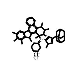 Cc1cc2c(c(C)c1C)C(C)c1c3c(c4ccccc4c1-2)C(C)C(C)C(C)[C]3(C)[Zr+2]([C]1=CC(C23CC4CC(CC(C4)C2)C3)=CC1C)=[C]1CCCCC1.[Cl-].[Cl-]